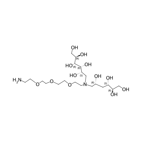 NCCOCCOCCOCCN(C[C@H](O)C[C@H](O)[C@H](O)CO)C[C@H](O)[C@@H](O)[C@H](O)[C@H](O)CO